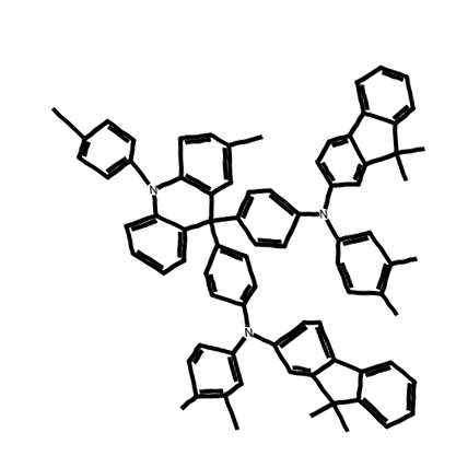 Cc1ccc(N2c3ccccc3C(c3ccc(N(c4ccc(C)c(C)c4)c4ccc5c(c4)C(C)(C)c4ccccc4-5)cc3)(c3ccc(N(c4ccc(C)c(C)c4)c4ccc5c(c4)C(C)(C)c4ccccc4-5)cc3)c3cc(C)ccc32)cc1